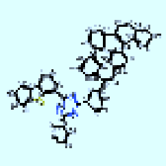 c1ccc(-c2nc(-c3cccc(-c4cc5ccc(-c6c(-c7ccccc7)ccc7ccccc67)cc5c5ccccc45)c3)nc(-c3cccc4c3sc3ccccc34)n2)cc1